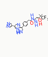 Cn1cc(C2=CN/C(=C(\C=N)c3ccc(CC(=O)NC(=N)/C=C(\O)C(C)(C)C(F)(F)F)cc3)N=C2)cn1